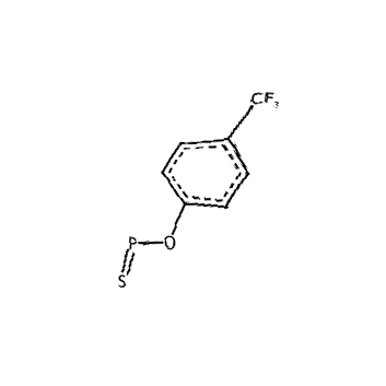 FC(F)(F)c1ccc(OP=S)cc1